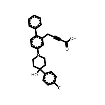 O=C(O)C#CCc1cc(N2CCC(O)(c3ccc(Cl)cc3)CC2)ccc1-c1ccccc1